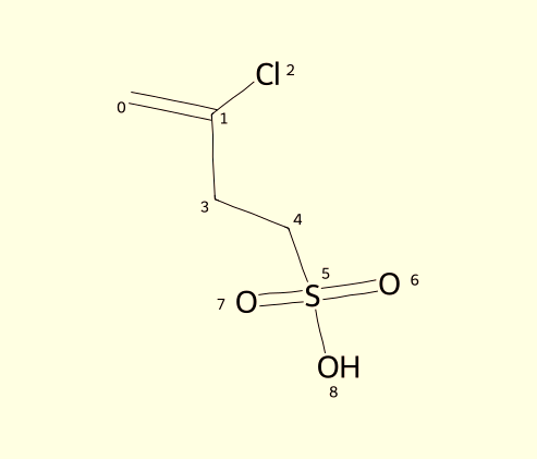 C=C(Cl)CCS(=O)(=O)O